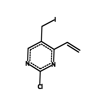 C=Cc1nc(Cl)ncc1CI